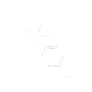 O=[N+]([O-])c1ccc(P(Cl)(Cl)(Cl)Cl)cc1